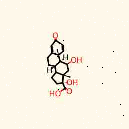 C[C@]12C=CC(=O)C=C1CC[C@H]1C3CC[C@](O)(C(=O)O)[C@@]3(C)C[C@H](O)[C@@H]12